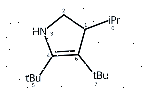 CC(C)C1CNC(C(C)(C)C)=C1C(C)(C)C